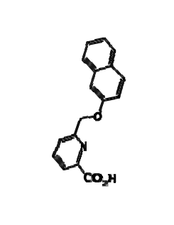 O=C(O)c1cccc(COc2ccc3ccccc3c2)n1